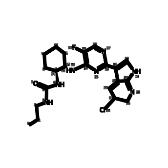 CCCNC(=O)N[C@H]1CCCC[C@@H]1Nc1nc(-c2c[nH]c3c2=CC(Cl)CN=3)ncc1F